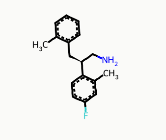 Cc1ccccc1C[C@@H](CN)c1ccc(F)cc1C